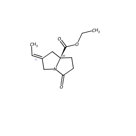 C/C=C1/CN2C(=O)CC[C@@]2(C(=O)OCC)C1